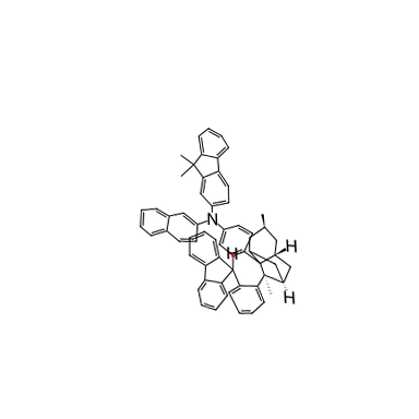 C[C@H]1C[C@@H]2C[C@@H]3C[C@H](C1)C21c2ccc(N(c4ccc5c(c4)C(C)(C)c4ccccc4-5)c4ccc5ccccc5c4)cc2C2(c4ccccc4-c4ccccc42)c2ccccc2[C@]31C